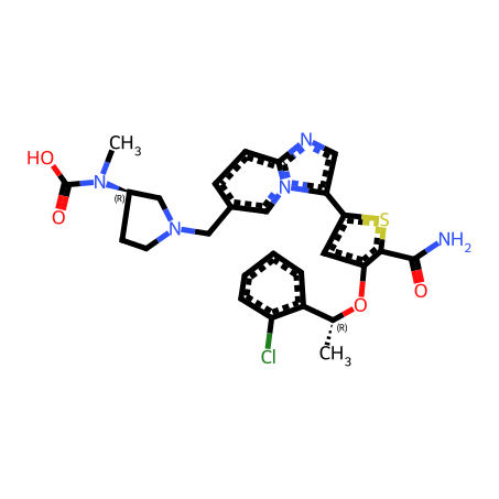 C[C@@H](Oc1cc(-c2cnc3ccc(CN4CC[C@@H](N(C)C(=O)O)C4)cn23)sc1C(N)=O)c1ccccc1Cl